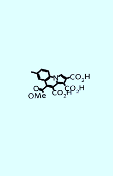 COC(=O)c1c(C(=O)O)c2c(C(=O)O)c(C(=O)O)cn2c2ccc(C)cc12